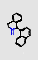 c1ccc2c(c1)CCNC2c1cccc2ccccc12